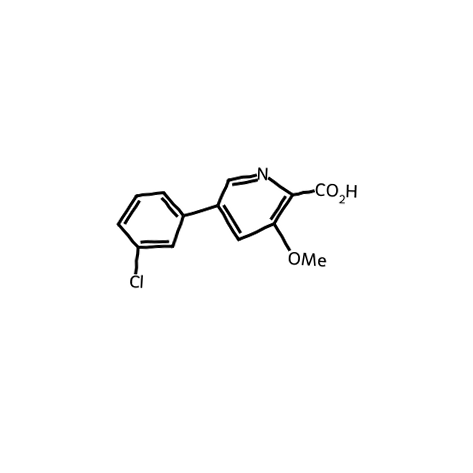 COc1cc(-c2cccc(Cl)c2)cnc1C(=O)O